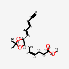 C#C/C=C/C=C/[C@H]1OC(C)(C)O[C@H]1C/C=C\CCC(=O)OC